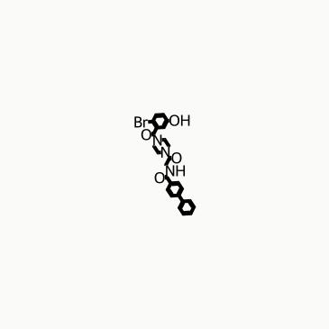 O=C(NCC(=O)N1CCN(C(=O)c2cc(O)ccc2Br)CC1)c1ccc(-c2ccccc2)cc1